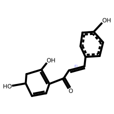 O=C(/C=C/c1ccc(O)cc1)C1=C(O)CC(O)C=C1